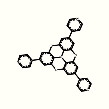 c1cc(-c2cc3c4c(c2)Oc2cc(-c5ccncc5)cc5c2B4c2c(cc(-c4ccncc4)cc2O5)O3)ccn1